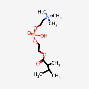 CC(C)C(C)C(=O)OCCOP(=O)(O)OCC[N+](C)(C)C